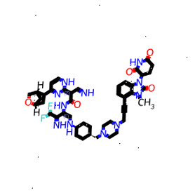 Cn1c(=O)n(C2CCC(=O)NC2=O)c2cccc(C#CCN3CCN(C[C@H]4CC[C@H](N/C=C(/NC(=O)/C(C=N)=C5\N=C(C6C[C@H]7C[C@@H]6CO7)C=CN5)C(=N)C(F)F)CC4)CC3)c21